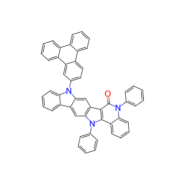 O=c1c2c3cc4c(cc3n(-c3ccccc3)c2c2ccccc2n1-c1ccccc1)c1ccccc1n4-c1ccc2c3ccccc3c3ccccc3c2c1